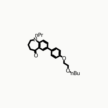 CCCCOCCOc1ccc(-c2ccc3c(c2)C(=O)CCCN3CCC)cc1